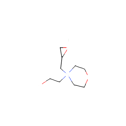 OCC[N+]1(CC2CO2)CCOCC1.[Cl-]